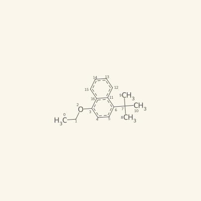 CCOc1ccc(C(C)(C)C)c2ccccc12